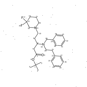 CC(C)(C)OC(=O)CC(CCN1CCCC(F)(F)C1)N(CCc1ccccc1)Cc1ccccc1